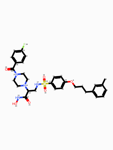 Cc1cccc(CCCOc2ccc(S(=O)(=O)NCC(C(=O)NO)N3CCN(C(=O)c4ccc(F)cc4)CC3)cc2)c1